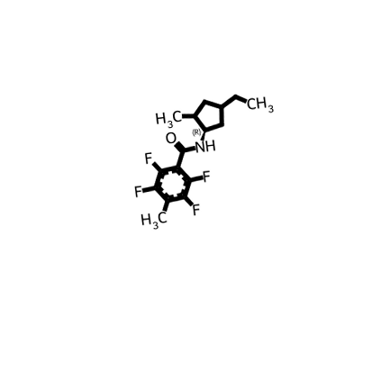 CCC1CC(C)[C@H](NC(=O)c2c(F)c(F)c(C)c(F)c2F)C1